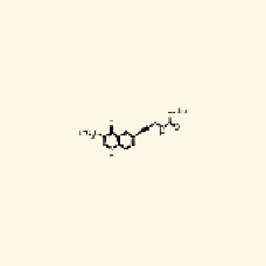 CCOC(=O)c1c[nH]c2ccc(C#CCNC(=O)OC(C)(C)C)cc2c1=O